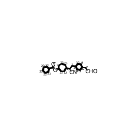 N#CC(Cc1ccc(CC=O)cc1)C1=CC=C(OC(=O)c2ccccc2)CC=C1